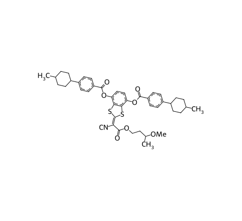 [C-]#[N+]C(C(=O)OCCC(C)OC)=C1Sc2c(OC(=O)c3ccc(C4CCC(C)CC4)cc3)ccc(OC(=O)c3ccc(C4CCC(C)CC4)cc3)c2S1